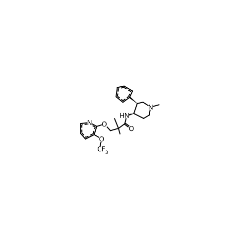 CN1CC[C@@H](NC(=O)C(C)(C)COc2ncccc2OC(F)(F)F)[C@@H](c2ccccc2)C1